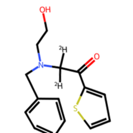 [2H]C([2H])(C(=O)c1cccs1)N(CCO)Cc1ccccc1